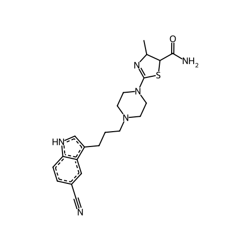 CC1N=C(N2CCN(CCCc3c[nH]c4ccc(C#N)cc34)CC2)SC1C(N)=O